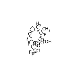 Cc1cc2cc(c1F)[C@@H](CC(=O)O)NC(=O)[C@@H](n1ccc(C(F)(F)F)c(Cl)c1=O)c1cc(ccc1F)Oc1cccc(C)c1-2